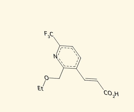 CCOCc1nc(C(F)(F)F)ccc1C=CC(=O)O